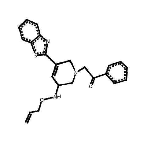 C=CCONC1C=C(c2nc3ccccc3s2)CN(CC(=O)c2ccccc2)C1